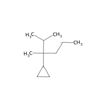 C[CH]CC(C)([C]1CC1)C(C)C